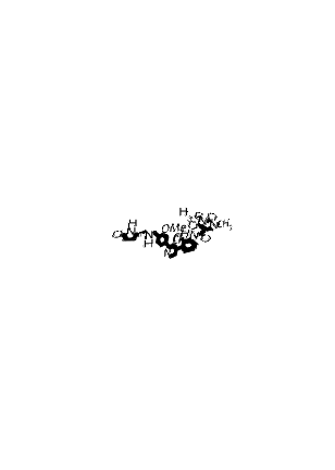 COc1cc(-c2nccc(-c3cccc(NC(=O)c4cn(C)c(=O)n(C)c4=O)c3Cl)c2Cl)ccc1CNC[C@H]1CCC(=O)N1